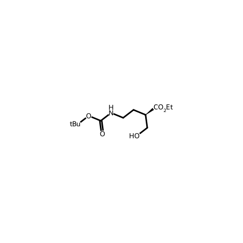 CCOC(=O)[C@@H](CO)CCNC(=O)OC(C)(C)C